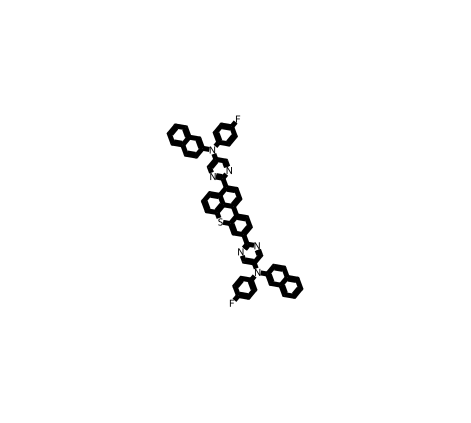 Fc1ccc(N(c2cnc(-c3ccc4c(c3)Sc3cccc5c(-c6ncc(N(c7ccc(F)cc7)c7ccc8ccccc8c7)cn6)ccc-4c35)nc2)c2ccc3ccccc3c2)cc1